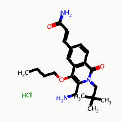 CCCCOc1c(CN)n(CC(C)(C)C)c(=O)c2ccc(C=CC(N)=O)cc12.Cl